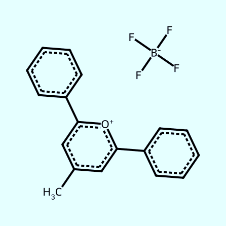 Cc1cc(-c2ccccc2)[o+]c(-c2ccccc2)c1.F[B-](F)(F)F